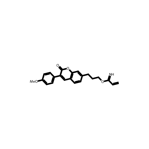 C=CC(=N)OCCCc1ccc2cc(-c3ccc(OC)cc3)c(=O)oc2c1